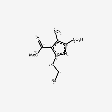 CCC(C)COn1nc(C(=O)O)c([N+](=O)[O-])c1C(=O)OC